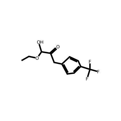 CCOC(O)C(=O)Cc1ccc(C(F)(F)F)cc1